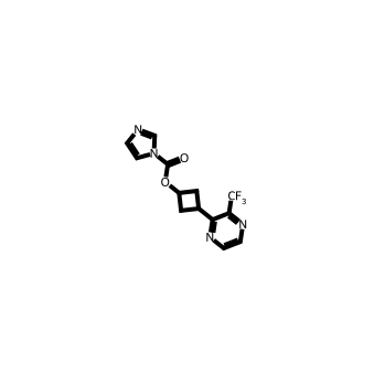 O=C(OC1CC(c2nccnc2C(F)(F)F)C1)n1ccnc1